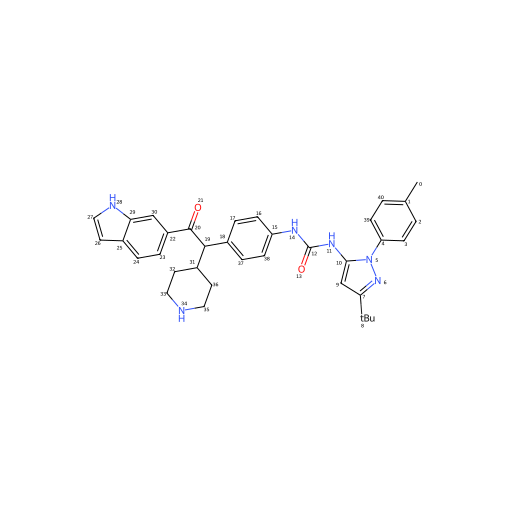 Cc1ccc(-n2nc(C(C)(C)C)cc2NC(=O)Nc2ccc(C(C(=O)c3ccc4cc[nH]c4c3)C3CCNCC3)cc2)cc1